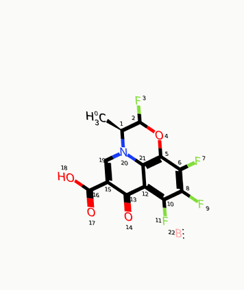 C[C@H]1C(F)Oc2c(F)c(F)c(F)c3c(=O)c(C(=O)O)cn1c23.[B]